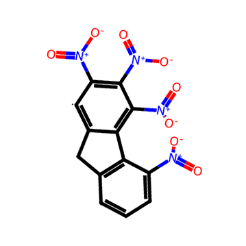 O=[N+]([O-])c1[c]c2c(c([N+](=O)[O-])c1[N+](=O)[O-])-c1c(cccc1[N+](=O)[O-])C2